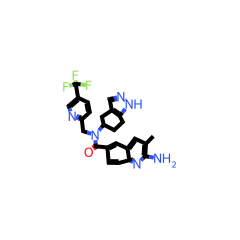 Cc1cc2cc(C(=O)N(Cc3ccc(C(F)(F)F)cn3)C3CCc4[nH]ncc4C3)ccc2nc1N